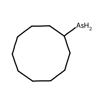 [AsH2]C1CCCCCCCCC1